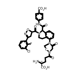 N[C@@H](CCC(=O)N1CCN(c2cccc3c2CCN(C(=O)C2CC(c4cccc(Cl)c4F)=NO2)C3C(=O)Nc2ccc(C(=O)O)cc2)C(=O)C1)C(=O)O